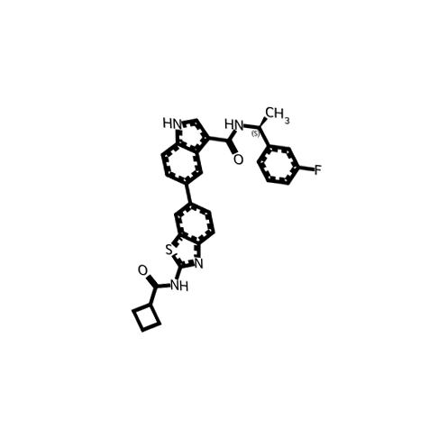 C[C@H](NC(=O)c1c[nH]c2ccc(-c3ccc4nc(NC(=O)C5CCC5)sc4c3)cc12)c1cccc(F)c1